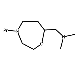 CC(C)N1CCOC(CN(C)C)CC1